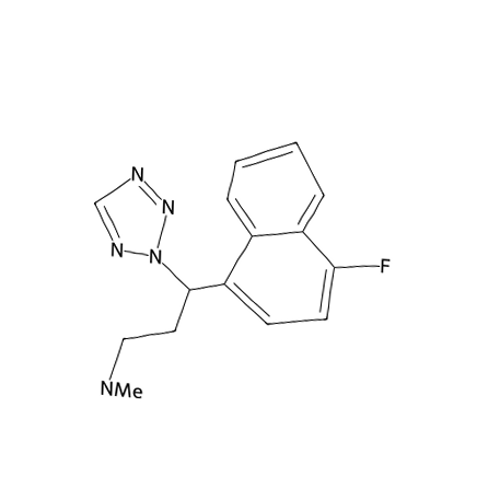 CNCCC(c1ccc(F)c2ccccc12)n1ncnn1